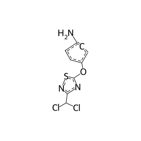 Nc1ccc(Oc2nc(C(Cl)Cl)ns2)cc1